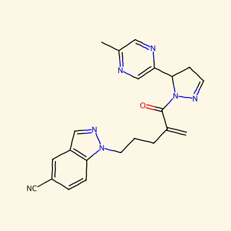 C=C(CCCn1ncc2cc(C#N)ccc21)C(=O)N1N=CCC1c1cnc(C)cn1